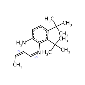 C/C=C\C=N/c1c(N)ccc(C(C)(C)C)c1C(C)(C)C